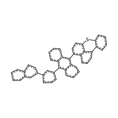 c1cc(-c2ccc3ccccc3c2)cc(-c2c3ccccc3c(-c3ccc4c5c(cccc35)-c3ccccc3S4)c3ccccc23)c1